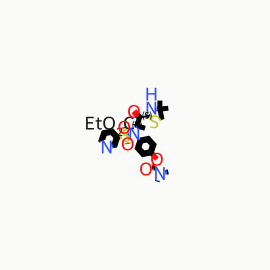 CCOC(=O)[C@@](C)(C(=O)[C@H]1NC(C)(C)CS1)N(c1ccc(OC(=O)N(C)C)cc1)S(=O)(=O)c1cccnc1